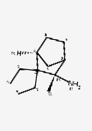 CCC1(CC)[C@H]2CCC(C2)[C@]1(C)N